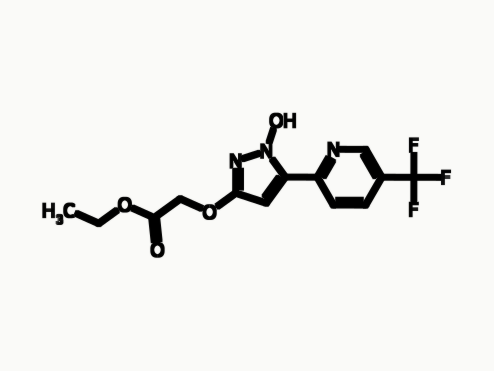 CCOC(=O)COc1cc(-c2ccc(C(F)(F)F)cn2)n(O)n1